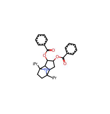 CC(C)C12CCC(C(C)C)(N1)C1C(OC(=O)c3ccccc3)C(OC(=O)c3ccccc3)CC12